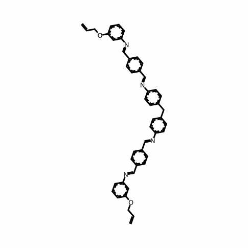 C=CCOc1cccc(N=Cc2ccc(C=Nc3ccc(Cc4ccc(N=Cc5ccc(C=Nc6cccc(OCC=C)c6)cc5)cc4)cc3)cc2)c1